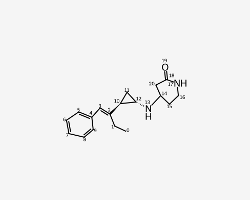 CC/C(=C\c1ccccc1)[C@H]1C[C@@H]1NC1CCNC(=O)C1